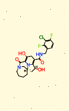 O=C(NCc1ccc(F)c(Cl)c1F)C1=C2[C@@H](O)C[C@]34CCCCN(C3)C(=O)C(=C(O)C1)N24